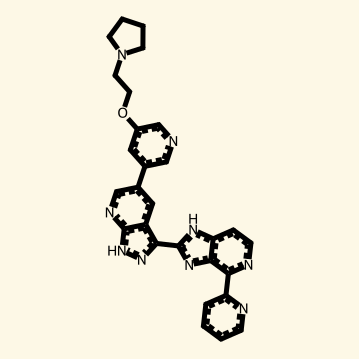 c1ccc(-c2nccc3[nH]c(-c4n[nH]c5ncc(-c6cncc(OCCN7CCCC7)c6)cc45)nc23)nc1